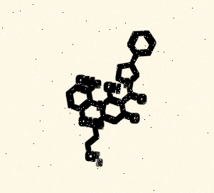 COc1cccc(OC)c1-n1c(CCCC(F)(F)F)cc(=O)c(C(=O)N2CC[C@@H](c3ccccc3)C2)c1O